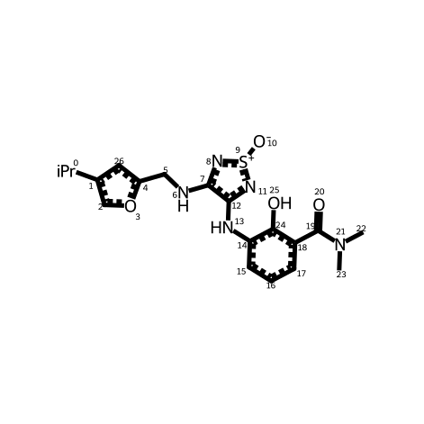 CC(C)c1coc(CNc2n[s+]([O-])nc2Nc2cccc(C(=O)N(C)C)c2O)c1